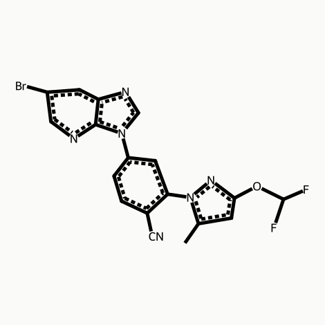 Cc1cc(OC(F)F)nn1-c1cc(-n2cnc3cc(Br)cnc32)ccc1C#N